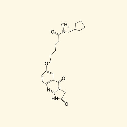 CN(CC1CCCC1)C(=O)CCCCCOc1ccc2nc3n(c(=O)c2c1)CC(=O)N3